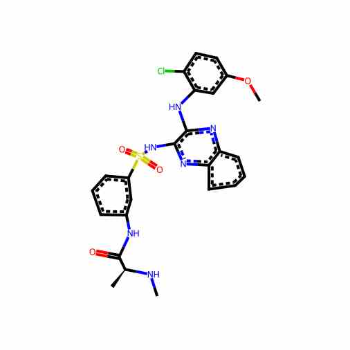 CN[C@@H](C)C(=O)Nc1cccc(S(=O)(=O)Nc2nc3ccccc3nc2Nc2cc(OC)ccc2Cl)c1